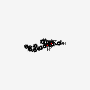 COc1cc(CN2CCN(C3CC4(CCN(c5ccc(C(=O)NS(=O)(=O)c6ccc(NCC7CCC(C)(O)CC7)c([N+](=O)[O-])c6)c(N6c7cc8cc[nH]c8nc7O[C@H]7CCOCC[C@@H]76)c5)CC4)C3)[C@H](c3ccccc3C)C2)cnc1N1CCOCC1